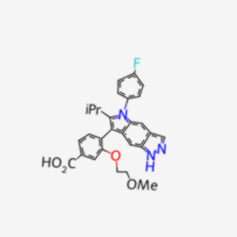 COCCOc1cc(C(=O)O)ccc1-c1c(C(C)C)n(-c2ccc(F)cc2)c2cc3cn[nH]c3cc12